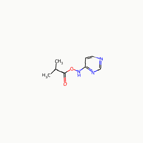 CC(C)C(=O)ONc1ccncn1